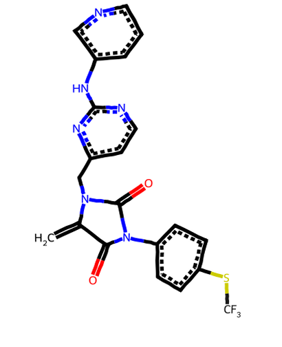 C=C1C(=O)N(c2ccc(SC(F)(F)F)cc2)C(=O)N1Cc1ccnc(Nc2cccnc2)n1